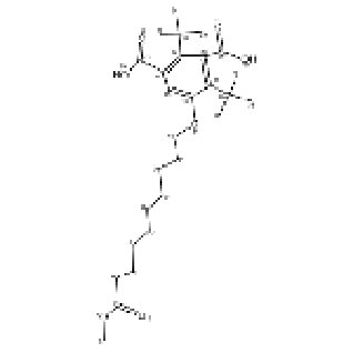 COC(=O)CCCCCCCCCOc1cc(C(=O)O)c(C(C)(C)C)c(C(=O)O)c1C(C)(C)C